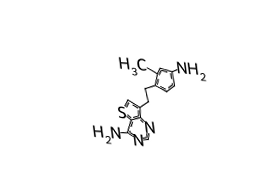 Cc1cc(N)ccc1CCc1csc2c(N)ncnc12